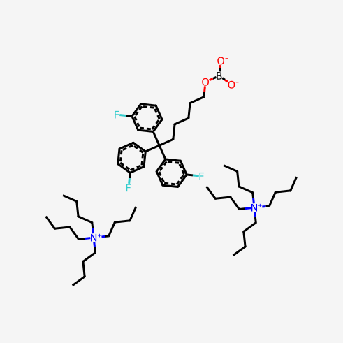 CCCC[N+](CCCC)(CCCC)CCCC.CCCC[N+](CCCC)(CCCC)CCCC.[O-]B([O-])OCCCCCC(c1cccc(F)c1)(c1cccc(F)c1)c1cccc(F)c1